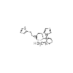 O=C(O)[C@@H]1CCC[N+]1(C1CCN(CCc2cccs2)CC1)n1cccc1